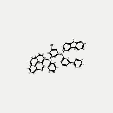 Brc1cc(N(c2cccc(-c3ccccc3)c2)c2ccc3sc4ccccc4c3c2)cc(N(c2ccccc2)c2ccc3ccc4cccc5ccc2c3c45)c1